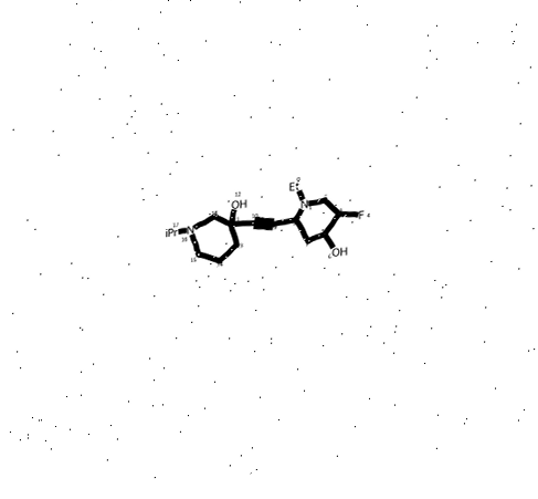 CCN1CC(F)C(O)CC1C#CC1(O)CCCN(C(C)C)C1